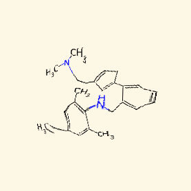 Cc1cc(C)c(NCc2ccccc2C2=CC(CN(C)C)=CC2)c(C)c1